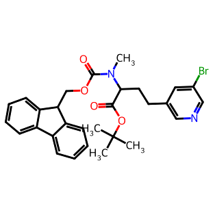 CN(C(=O)OCC1c2ccccc2-c2ccccc21)C(CCc1cncc(Br)c1)C(=O)OC(C)(C)C